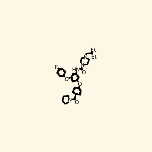 CCC(CC)CN1CCN(C(=O)Nc2cc(Oc3ccc(F)cc3)cc(Oc3ccc(C(=O)N4CCCCC4)cc3)c2)CC1